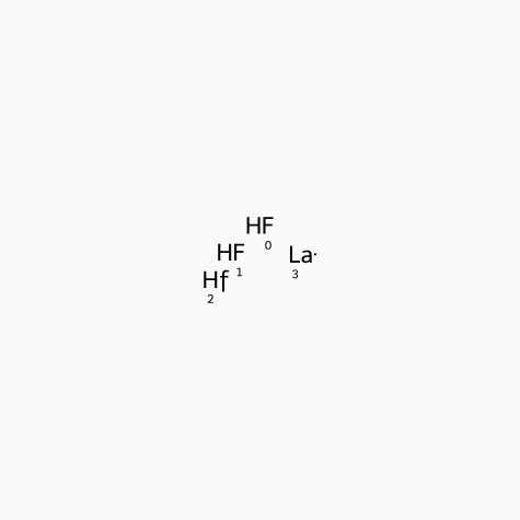 F.F.[Hf].[La]